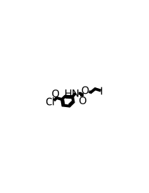 O=C(Nc1cccc(C(=O)Cl)c1)OCCI